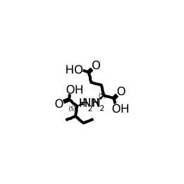 CCC(C)[C@H](N)C(=O)O.N[C@@H](CCC(=O)O)C(=O)O